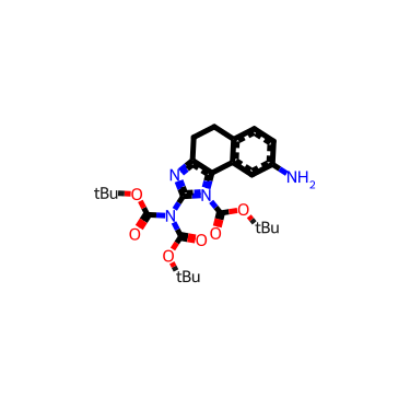 CC(C)(C)OC(=O)N(C(=O)OC(C)(C)C)c1nc2c(n1C(=O)OC(C)(C)C)-c1cc(N)ccc1CC2